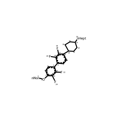 CCCCCCCCCOc1ccc(-c2ccc(C3CCC(CCCCCCC)CC3)c(F)c2F)c(F)c1F